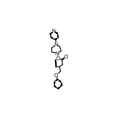 C=CC(COc1ccccc1)CC(=O)ON1CCN(c2ccncc2)CC1